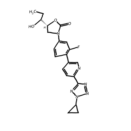 CCC(O)[C@H]1CN(c2ccc(-c3ccc(-c4nnn(C5CC5)n4)nc3)c(F)c2)C(=O)O1